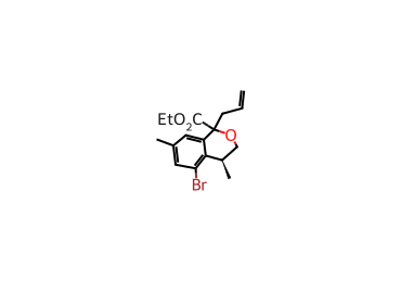 C=CCC1(C(=O)OCC)OC[C@@H](C)c2c(Br)cc(C)cc21